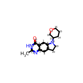 Cc1nc2cc3c(cc2c(=O)[nH]1)N(C1CCCOC1)CC3